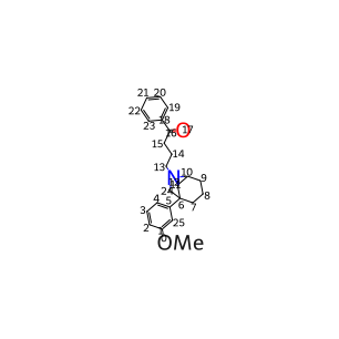 COc1cccc(C23CCCC(C2)N(CCCC(=O)c2ccccc2)C3)c1